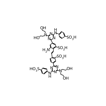 Nc1cc(-c2nc(Nc3ccc(S(=O)(=O)O)cc3)nc(N(CCO)CCO)n2)cc(S(=O)(=O)O)c1C=Cc1ccc(-c2nc(Nc3ccc(S(=O)(=O)O)cc3)nc(N(CCO)CCO)n2)cc1S(=O)(=O)O